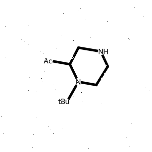 CC(=O)C1CNCCN1C(C)(C)C